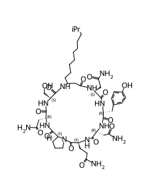 CC(C)CCCCCCCCC1CC(=O)N[C@@H](CC(N)=O)C(=O)N[C@H](Cc2ccc(O)cc2)C(=O)N[C@H](CC(N)=O)C(=O)N[C@@H](CCC(N)=O)C(=O)N2CCC[C@H]2C(=O)N[C@H](CC(N)=O)C(=O)N[C@@H](CO)C(=O)N1